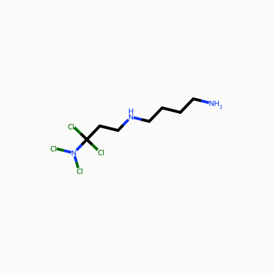 NCCCCNCCC(Cl)(Cl)N(Cl)Cl